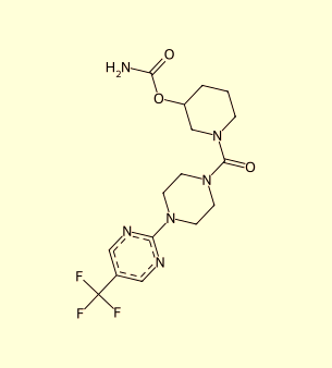 NC(=O)OC1CCCN(C(=O)N2CCN(c3ncc(C(F)(F)F)cn3)CC2)C1